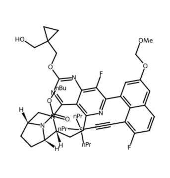 CCCCOC(=O)N1[C@@H]2CC[C@H]1[C@H]1CCc3nc(-c4cc(OCOC)cc5ccc(F)c(C#CS(CCC)(CCC)CCC)c45)c(F)c4nc(OCC5(CO)CC5)nc(c34)N1C2